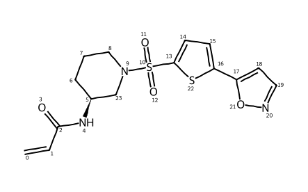 C=CC(=O)N[C@H]1CCCN(S(=O)(=O)c2ccc(-c3ccno3)s2)C1